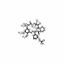 C=CC(=O)OCC(C)(C)C(=O)C(=O)N1CCCCC1C(=O)O[C@H](CCc1cc(OC)cc(OC)c1OC)c1cccc(OCC(=O)O)c1